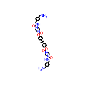 CC(C)(c1ccc(OC(=O)N2CCN(C(=O)NCc3ccc(CN)cc3)CC2)cc1)c1ccc(OC(=O)N2CCN(C(=O)NCc3ccc(CN)cc3)CC2)cc1